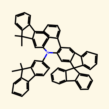 CC1(C)c2ccccc2-c2ccc(N(c3ccc4c(c3)C(C)(C)c3ccccc3-4)c3cc4c(cc3-c3ccccc3)-c3ccccc3C43c4ccccc4-c4ccccc43)cc21